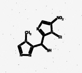 CCn1c([N+](=O)[O-])cnc1C(S)c1nncn1C